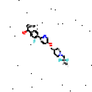 COC(=O)c1ccc(-c2ccc(OCC3CCN(CC(F)(F)C(F)(F)F)CC3)cn2)c(F)c1